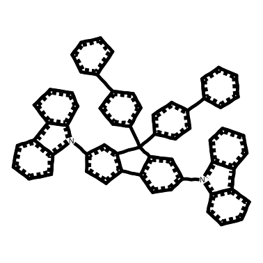 c1ccc(-c2ccc(C3(c4ccc(-c5ccccc5)cc4)c4cc(-n5c6ccccc6c6ccccc65)ccc4-c4ccc(-n5c6ccccc6c6ccccc65)cc43)cc2)cc1